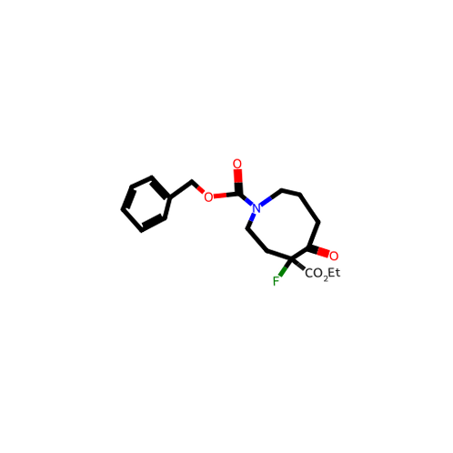 CCOC(=O)C1(F)CCN(C(=O)OCc2ccccc2)CCCC1=O